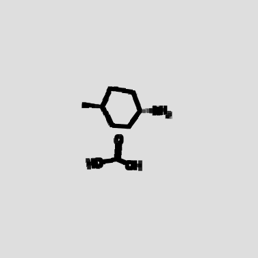 C[C@H]1CC[C@H](N)CC1.O=C(O)O